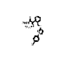 CNC(=O)C(=NOC)c1ccccc1COc1ccn(-c2ccc(Cl)cc2)n1